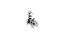 CCOC(=S)SC(COC(C)=O)CC(NC(=O)OC(C)(C)C)C(F)(F)F